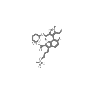 COC(=O)c1c(CCCOS(C)(=O)=O)c2ccc(Cl)c(-c3c(COC4CCCCO4)nn(C)c3CI)c2n1C